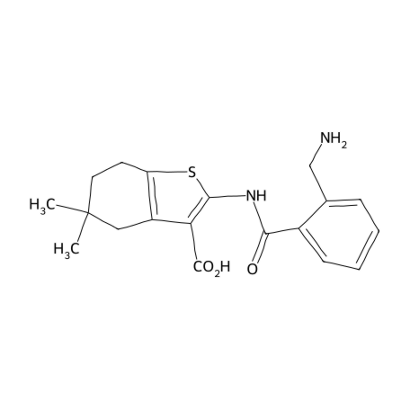 CC1(C)CCc2sc(NC(=O)c3ccccc3CN)c(C(=O)O)c2C1